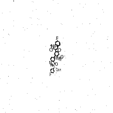 CNC(=O)c1c(-c2ccc(F)cc2)oc2cc(N[S+](C)[O-])c(-c3ccc4nnn([C@H](CO)c5ccc(F)cc5)c(=O)c4c3)cc12